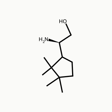 CC1(C)CCC([C@@H](N)CO)C1(C)C